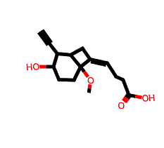 C#CC1C(O)CCC2(OC)C(=CCCC(=O)O)CC12